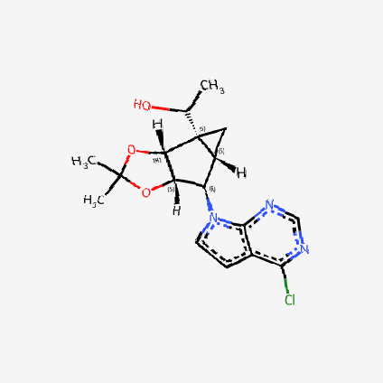 CC(O)[C@]12C[C@@H]1[C@@H](n1ccc3c(Cl)ncnc31)[C@@H]1OC(C)(C)O[C@@H]12